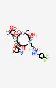 CC[C@H]1OC(=O)[C@H](C)[C@@H](O[C@H]2C[C@@](C)(OC)[C@@H](O)[C@H](C)O2)[C@H](C)[C@@H](O[C@@H]2O[C@H](C)C[C@H](N(C)C)[C@H]2O)[C@](C)(O)C[C@@H](C)CN(CCCNC(=O)Nc2ccc(C(F)(F)F)cc2)[C@H](C)[C@@H](O)[C@]1(C)O